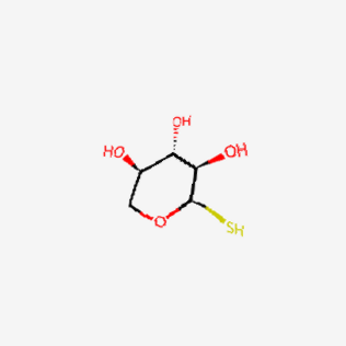 O[C@@H]1[C@@H](O)[C@@H](S)OC[C@H]1O